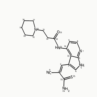 N#CC(=Cc1c[nH]c2nccc(NC(=O)CCN3CCCCC3)c12)C(N)=S